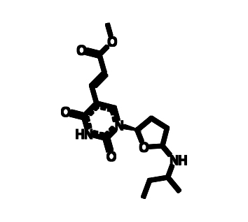 CCC(C)NC1CC[C@H](n2cc(/C=C/C(=O)OC)c(=O)[nH]c2=O)O1